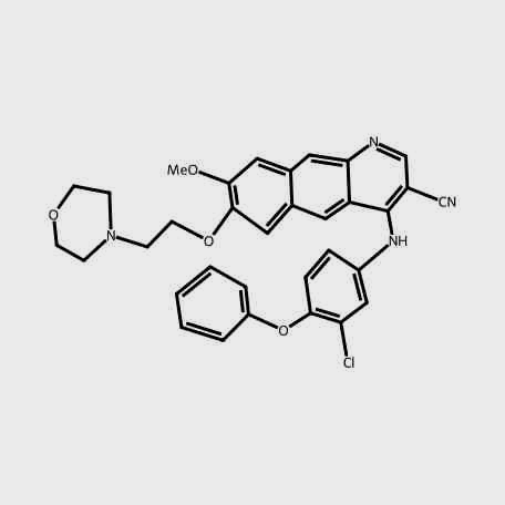 COc1cc2cc3ncc(C#N)c(Nc4ccc(Oc5ccccc5)c(Cl)c4)c3cc2cc1OCCN1CCOCC1